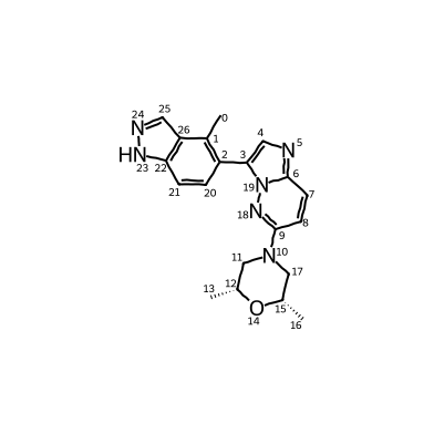 Cc1c(-c2cnc3ccc(N4C[C@@H](C)O[C@@H](C)C4)nn23)ccc2[nH]ncc12